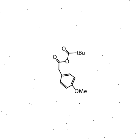 COc1ccc(CC(=O)OC(=O)C(C)(C)C)cc1